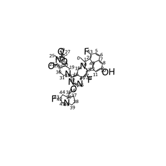 CCc1c(F)ccc2cc(O)cc(-c3ncc4c(N5CCC(C(=O)N(C)S(C)(=O)=O)CC5)nc(OC[C@@]56CCCN5C[C@H](F)C6)nc4c3F)c12